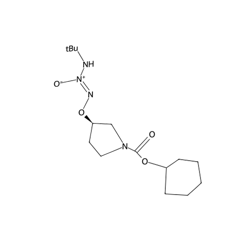 CC(C)(C)N/[N+]([O-])=N/O[C@@H]1CCN(C(=O)OC2CCCCC2)C1